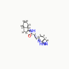 O=C(/C=C/c1ccc2cn[nH]c2n1)NC1CCc2ccccc21